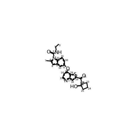 CCNC(=O)n1c(C)cc2cc(Oc3ccnc4cc(C(=O)N5CCCC5O)sc34)ccc21